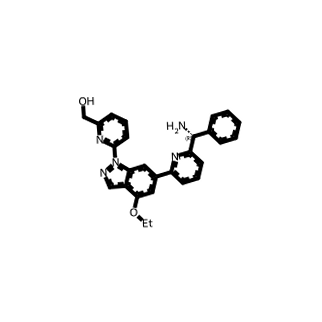 CCOc1cc(-c2cccc([C@H](N)c3ccccc3)n2)cc2c1cnn2-c1cccc(CO)n1